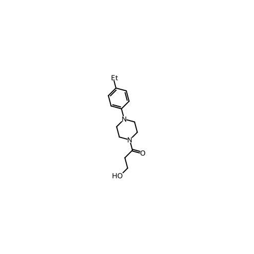 CCc1ccc(N2CCN(C(=O)CCO)CC2)cc1